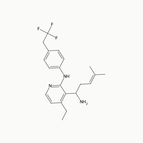 CCc1ccnc(Nc2ccc(CC(F)(F)F)cc2)c1C(N)CC=C(C)C